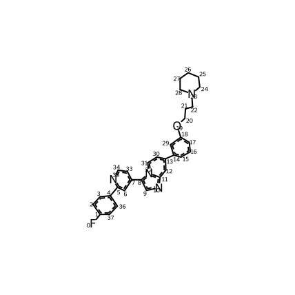 Fc1ccc(-c2cc(-c3cnc4cc(-c5cccc(OCCCN6CCCCC6)c5)ccn34)ccn2)cc1